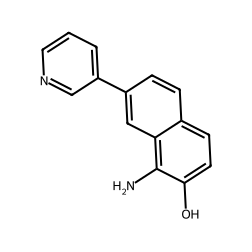 Nc1c(O)ccc2ccc(-c3cccnc3)cc12